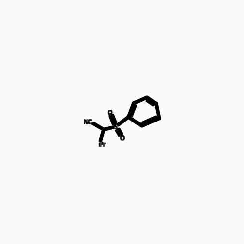 CC(C)C(C#N)S(=O)(=O)c1ccccc1